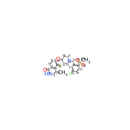 Cc1c[nH]c(=O)c2ccc(OC3CCN(Cc4cc(F)ccc4S(C)(=O)=O)CC3)c(F)c12